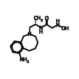 C[C@@H](CN1CCCCc2c(N)cccc2C1)NC(=O)CNO